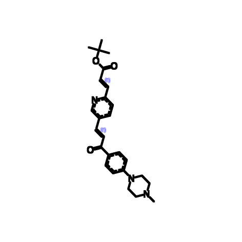 CN1CCN(c2ccc(C(=O)/C=C/c3ccc(/C=C/C(=O)OC(C)(C)C)nc3)cc2)CC1